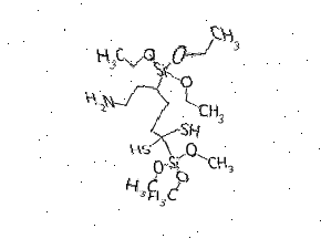 CCO[Si](OCC)(OCC)C(CCN)CCC(S)(S)[Si](OC)(OC)OC